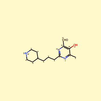 Cc1nc(CCCC2CCNCC2)nc(C=O)c1O